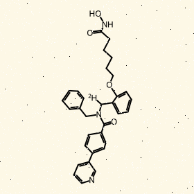 [2H]C(c1ccccc1OCCCCCC(=O)NO)N(Cc1ccccc1)C(=O)c1ccc(-c2cccnc2)cc1